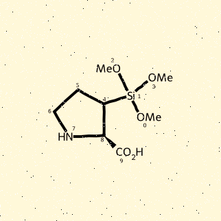 CO[Si](OC)(OC)C1CCN[C@@H]1C(=O)O